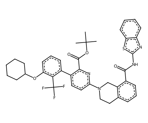 CC(C)(C)OC(=O)c1nc(N2CCc3cccc(C(=O)Nc4nc5ccccc5s4)c3C2)ccc1-c1cccc(OC2CCCCC2)c1C(F)(F)F